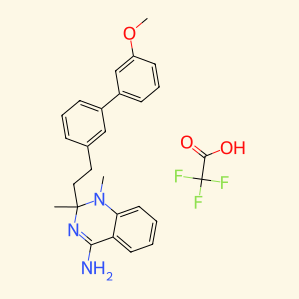 COc1cccc(-c2cccc(CCC3(C)N=C(N)c4ccccc4N3C)c2)c1.O=C(O)C(F)(F)F